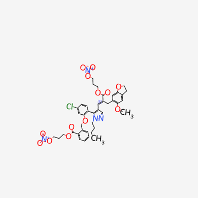 CCCCn1ncc(/C=C(\Cc2cc3c(cc2OC)CCO3)C(=O)OCCCO[N+](=O)[O-])c1-c1ccc(Cl)cc1OCc1ccccc1C(=O)OCCCO[N+](=O)[O-]